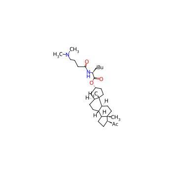 CCC(C)[C@H](NC(=O)CCCN(C)C)C(=O)O[C@@H]1CC[C@@]2(C)[C@@H](CC[C@@H]3[C@@H]2CC[C@]2(C)[C@@H](C(C)=O)CC[C@@H]32)C1